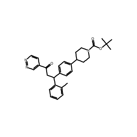 Cc1ccccc1C(CC(=O)c1ccnnc1)c1ccc(C2CCN(C(=O)OC(C)(C)C)CC2)cc1